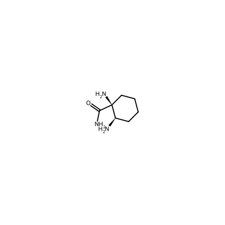 NC(=O)[C@]1(N)CCCC[C@H]1N